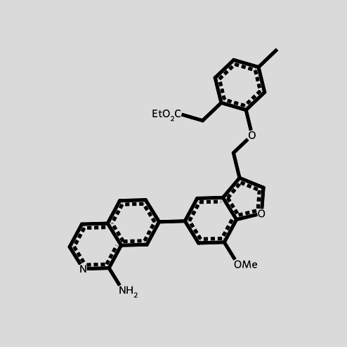 CCOC(=O)Cc1ccc(C)cc1OCc1coc2c(OC)cc(-c3ccc4ccnc(N)c4c3)cc12